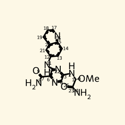 CO[C@@H](Nc1cnc(C(N)=O)c(Nc2ccc3ncccc3c2)n1)C(N)=O